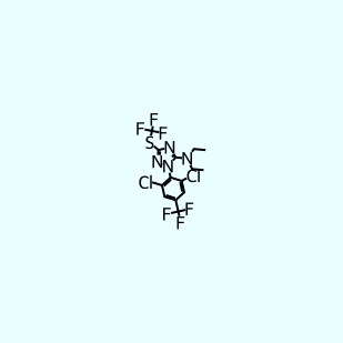 CCN(CC)c1nc(SC(F)(F)F)nn1-c1c(Cl)cc(C(F)(F)F)cc1Cl